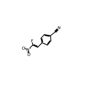 N#Cc1ccc(C=C(F)[N+](=O)[O-])cc1